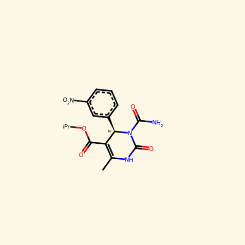 CC1=C(C(=O)OC(C)C)[C@@H](c2cccc([N+](=O)[O-])c2)N(C(N)=O)C(=O)N1